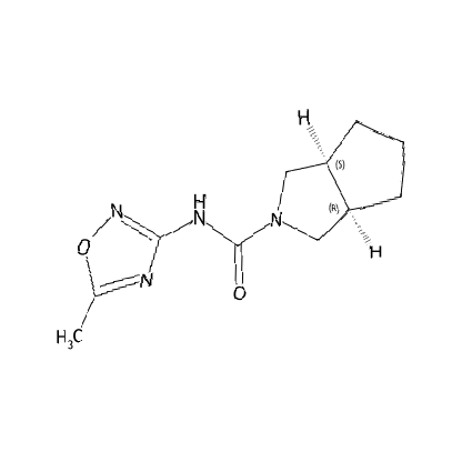 Cc1nc(NC(=O)N2C[C@H]3CCC[C@H]3C2)no1